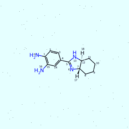 Nc1ccc(C2=N[C@H]3CCCC[C@@H]3N2)cc1N